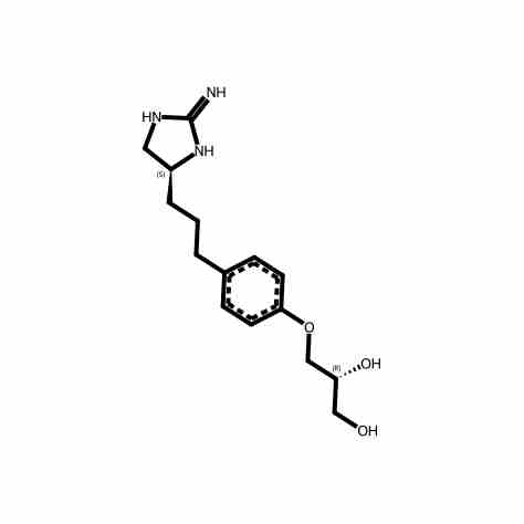 N=C1NC[C@H](CCCc2ccc(OC[C@H](O)CO)cc2)N1